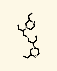 CCC1CN(C(CC)COCC(CC)N2CCOC(CC)C2)CCO1